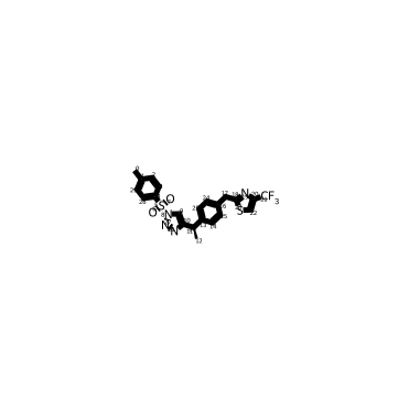 Cc1ccc(S(=O)(=O)n2cc([C@H](C)c3ccc(Cc4nc(C(F)(F)F)cs4)cc3)nn2)cc1